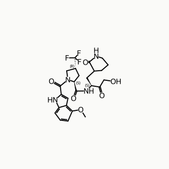 COc1cccc2[nH]c(C(=O)N3C[C@H](C(F)(F)F)C[C@H]3C(=O)N[C@@H](CC3CCCNC3=O)C(=O)CO)cc12